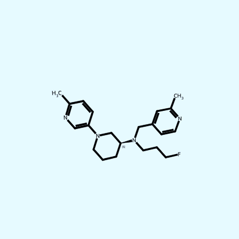 Cc1ccc(N2CCC[C@H](N(CCCF)Cc3ccnc(C)c3)C2)cn1